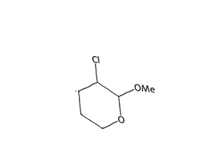 COC1OCC[CH]C1Cl